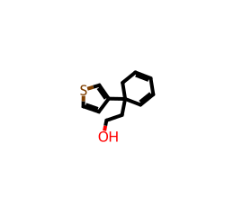 OCCC1(c2ccsc2)C=CC=CC1